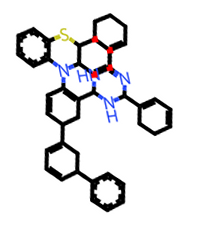 C1=CCCC(C2N=C(C3=CCCCC3)NC(C3=C(N4c5ccccc5SC5CCC=CC54)C=CC(C4=CC=CC(c5ccccc5)C4)C3)N2)=C1